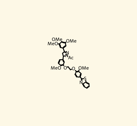 COc1cc(-c2nc3ccccc3s2)ccc1OCCOc1cc(C2CC(c3cc(OC)c(OC)c(OC)c3)=NN2C(C)=O)ccc1OC